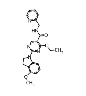 CCOc1nc(N2CCc3c(OC)cccc32)ncc1C(=O)NCc1ccccn1